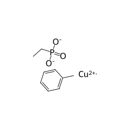 CCP(=O)([O-])[O-].Cc1ccccc1.[Cu+2]